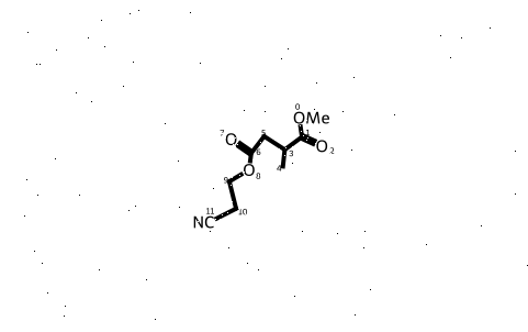 COC(=O)C(C)CC(=O)OCCC#N